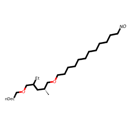 CCCCCCCCCCCOCC(CC)C[C@@H](C)COCCCCCCCCCCCCN=O